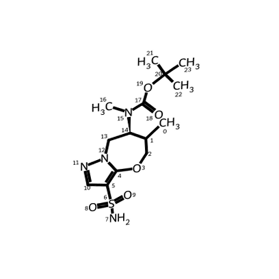 CC1COc2c(S(N)(=O)=O)cnn2C[C@H]1N(C)C(=O)OC(C)(C)C